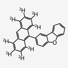 [2H]c1c([2H])c([2H])c2c(-c3ccc4oc5ccccc5c4c3)c3c([2H])c([2H])c([2H])c([2H])c3cc2c1[2H]